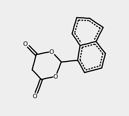 O=C1CC(=O)OC(c2cccc3ccccc23)O1